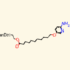 CCCCCCCCCCCCOC(=O)CCCCCCCCCCOc1ccc(N)nc1